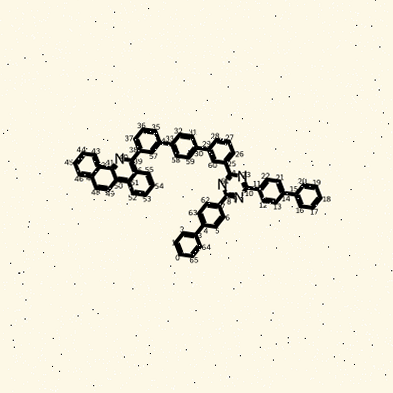 c1ccc(-c2ccc(-c3nc(-c4ccc(-c5ccccc5)cc4)nc(-c4cccc(-c5ccc(-c6cccc(-c7nc8c9ccccc9ccc8c8ccccc78)c6)cc5)c4)n3)cc2)cc1